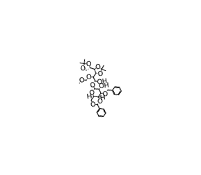 COCO[C@H](C(O)O[C@@H]1O[C@@H]2COC(c3ccccc3)O[C@H]2[C@H](OCc2ccccc2)[C@@H]1O)[C@H]1OC(C)(C)O[C@@H]1[C@@H]1COC(C)(C)O1